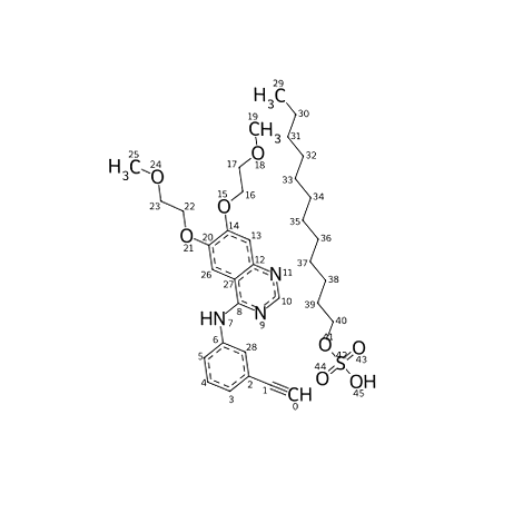 C#Cc1cccc(Nc2ncnc3cc(OCCOC)c(OCCOC)cc23)c1.CCCCCCCCCCCCOS(=O)(=O)O